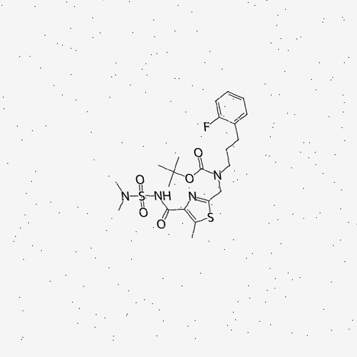 Cc1sc(CN(CCCc2ccccc2F)C(=O)OC(C)(C)C)nc1C(=O)NS(=O)(=O)N(C)C